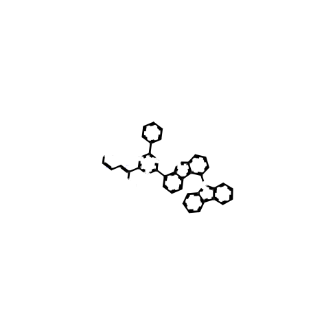 C/C=C\C=C(/C)c1nc(-c2ccccc2)nc(-c2cccc3c2oc2cccc(-n4c5ccccc5c5ccccc54)c23)n1